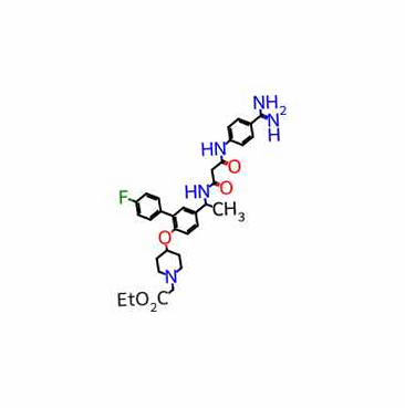 CCOC(=O)CN1CCC(Oc2ccc(C(C)NC(=O)CC(=O)Nc3ccc(C(=N)N)cc3)cc2-c2ccc(F)cc2)CC1